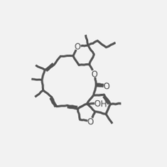 CCCC1(C)CC2CC(C/C=C(\C)C(C)C(C)/C=C/C=C3\COC4C(C)C(C)=CC(C(=O)O2)C34O)O1